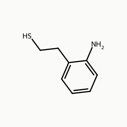 Nc1ccccc1CCS